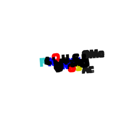 COCc1ccc(C(C)=O)c2sc(C(=O)Nc3ccc4c(C(=O)N5CC(F)C5)cccc4n3)c(C)c12